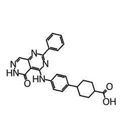 O=C(O)C1CCC(c2ccc(Nc3nc(-c4ccccc4)nc4cn[nH]c(=O)c34)cc2)CC1